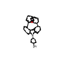 CC(C)c1ccc(-n2c3cccc(-c4ccccc4)c3c3c(-c4ccccc4)cccc32)cc1